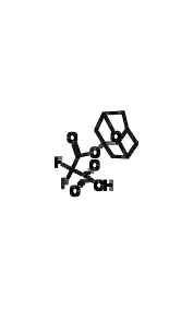 O=C(OC12CC3CC(C1)OC(C3)C2)C(F)(F)S(=O)(=O)O